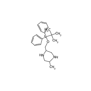 CC1CNC(CO[Si](c2ccccc2)(c2ccccc2)C(C)(C)C)CN1